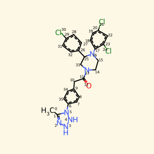 CC1=NNNN1c1ccc(CC(=O)N2CCN(c3ccc(Cl)cc3Cl)C(c3ccc(Cl)cc3)C2)cc1